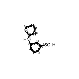 O=S(=O)(O)c1cccc(Nc2n[c]ncn2)c1